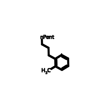 CCCCCCCCc1[c]cccc1C